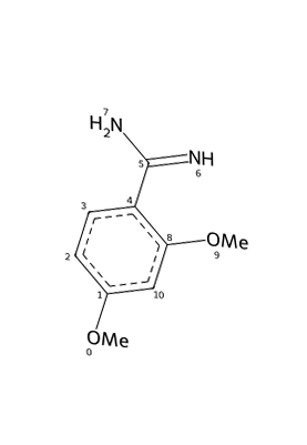 COc1ccc(C(=N)N)c(OC)c1